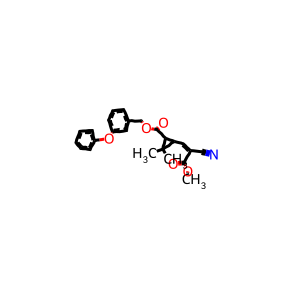 COC(=O)C(C#N)=CC1C(C(=O)OCc2cccc(Oc3ccccc3)c2)C1(C)C